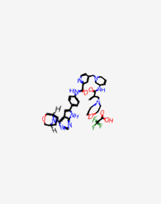 C=C(CN1CCOCC1)C(=O)N[C@@H]1CCCN(Cc2ccnc(C(=O)Nc3ccc(-c4cc5c(N6[C@@H]7CC[C@H]6COC7)ncnc5[nH]4)cc3)c2)C1.O=C(O)C(F)(F)F